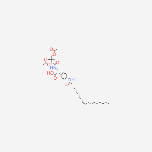 CCCCCCCC/C=C\CCCCCCCC(=O)Nc1ccc(C(CNC(=O)[C@@H](OC(C)=O)C(C)(C)COC(C)=O)C(=O)O)cc1